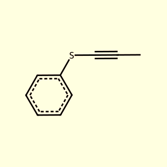 CC#CSc1ccccc1